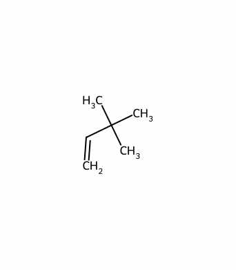 C=CC(C)(C)C